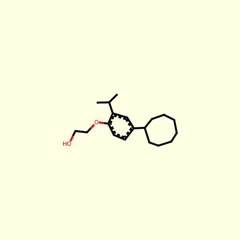 CC(C)c1cc(C2CCCCCCC2)ccc1OCCO